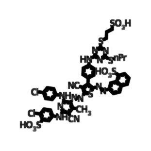 CCCSc1nc(Nc2ccc(-c3c(N=Nc4ccc5cccc(S(=O)(=O)O)c5c4)sc(N=Nc4c(Nc5ccc(Cl)cc5)nc(Nc5ccc(Cl)c(S(=O)(=O)O)c5)c(C#N)c4C)c3C#N)cc2)nc(SCCCS(=O)(=O)O)n1